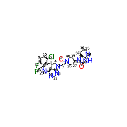 O=C(Cn1cc(-c2ccccc2Cl)c2c(N3CC(F)(F)C3)ncnc21)N1CCC(n2c(=O)[nH]c3ncccc32)CC1